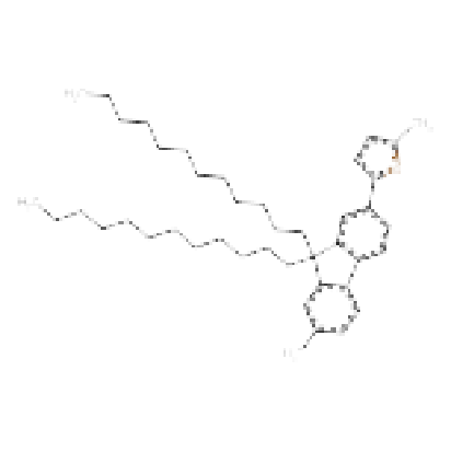 CCCCCCCCCCCCC1(CCCCCCCCCCCC)c2cc(C)ccc2-c2ccc(-c3ccc(C)s3)cc21